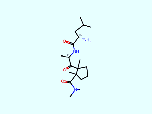 CC(C)C[C@H](N)C(=O)N[C@H](C)C(=O)C1(C)CCCC1(C)C(=O)N(C)C